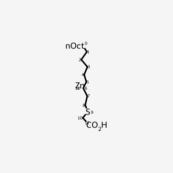 CCCCCCCCCCCCCCCCSCC(=O)O.[Zn]